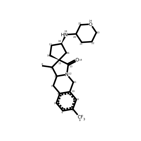 CC1C2Cc3ccc(C(F)(F)F)cc3CN2C(=O)[C@]12CC[C@@H](NC1CCCOC1)C2